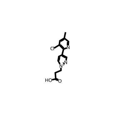 Cc1cnc(-c2cc[n+](CCC(=O)O)nc2)c(Cl)c1